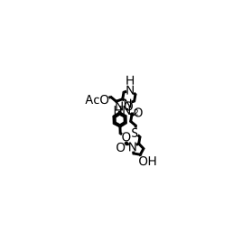 CC(=O)OCCC1CNCCN1NC(=O)CCSCC1CC(O)CN1C(=O)OCc1ccc([N+](=O)[O-])cc1